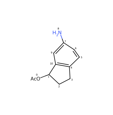 CC(=O)OC1CCc2ccc(N)cc21